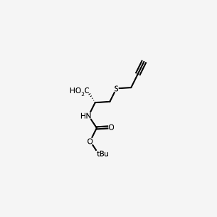 C#CCSC[C@H](NC(=O)OC(C)(C)C)C(=O)O